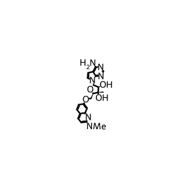 CNc1ccc2ccc(OC[C@H]3O[C@@H](n4ccc5c(N)ncnc54)[C@H](O)[C@]3(C)O)cc2n1